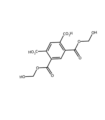 O=C(O)c1cc(C(=O)O)c(C(=O)OCO)cc1C(=O)OCO